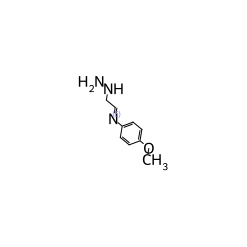 COc1ccc(/N=C/CNN)cc1